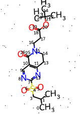 CC(C)CS(=O)(=O)c1ncc2c(n1)CCN(CCC(=O)OC(C)(C)C)C2=O